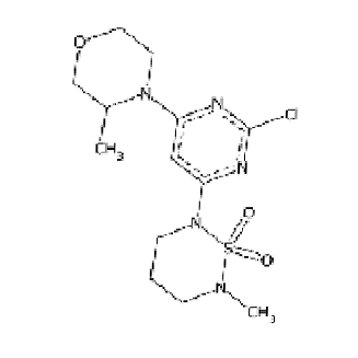 CC1COCCN1c1cc(N2CCCN(C)S2(=O)=O)nc(Cl)n1